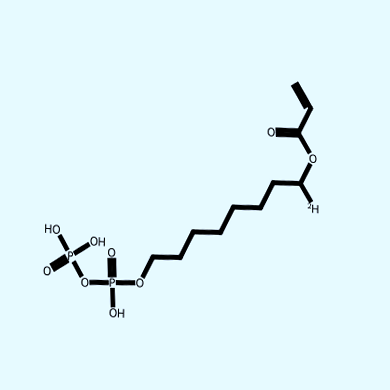 [2H]C(CCCCCCCOP(=O)(O)OP(=O)(O)O)OC(=O)C=C